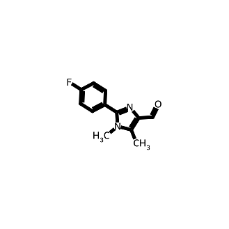 Cc1c(C=O)nc(-c2ccc(F)cc2)n1C